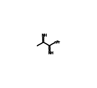 CCCC(=N)C(C)=N